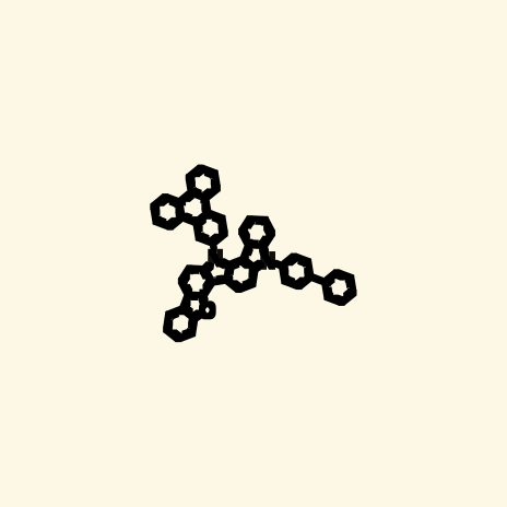 c1ccc(-c2ccc(-n3c4ccccc4c4c3ccc3c5c6oc7ccccc7c6ccc5n(-c5ccc6c7ccccc7c7ccccc7c6c5)c34)cc2)cc1